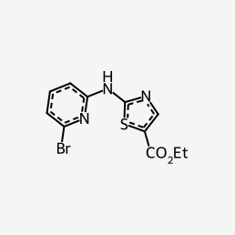 CCOC(=O)c1cnc(Nc2cccc(Br)n2)s1